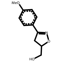 COc1ccc(C2=NOC(CO)C2)cc1